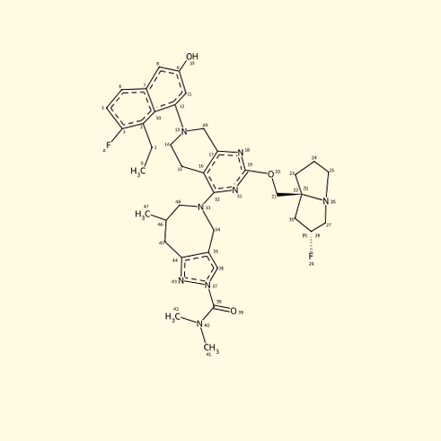 CCc1c(F)ccc2cc(O)cc(N3CCc4c(nc(OC[C@@]56CCCN5C[C@H](F)C6)nc4N4Cc5cn(C(=O)N(C)C)nc5CC(C)C4)C3)c12